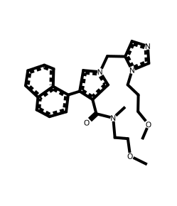 COCCCn1cncc1Cn1cc(C(=O)N(C)CCOC)c(-c2cccc3ccccc23)c1